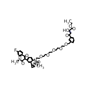 CCOC(=O)/C(O)=C/C(=O)c1cccc(COCCOCCOCCOCCOCCN(c2cc3oc(-c4ccc(F)cc4)c(C(=O)NC)c3cc2C2CC2)S(C)(=O)=O)c1